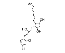 CC(=O)CCCCCC[C@@H]1[C@@H](CCC(O)/C=C/c2ccc(Cl)cc2Cl)[C@H](O)C[C@@H]1O